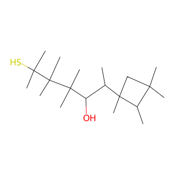 CC(C(O)C(C)(C)C(C)(C)C(C)(C)S)C1(C)CC(C)(C)C1C